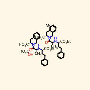 CCOC(=O)[C@H](CCc1ccccc1)N[C@@H](C)C(=O)N1Cc2ccccc2C[C@H]1C(=O)O.CCOC(=O)[C@H](CCc1ccccc1)N[C@@H](C)C(=O)N1Cc2ccccc2C[C@H]1C(=O)O.O=C(O)O.[MgH2]